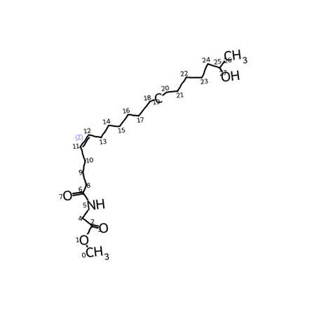 COC(=O)CNC(=O)CCC/C=C\CCCCCCCCCCCCC(C)O